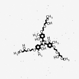 COCC(O)COCCOc1ccc(-c2nc(-c3ccc(OCCOCC(O)COC)c(C)c3O)nc(-c3ccc(OCCOCC(O)COC)c(C)c3O)n2)c(O)c1C